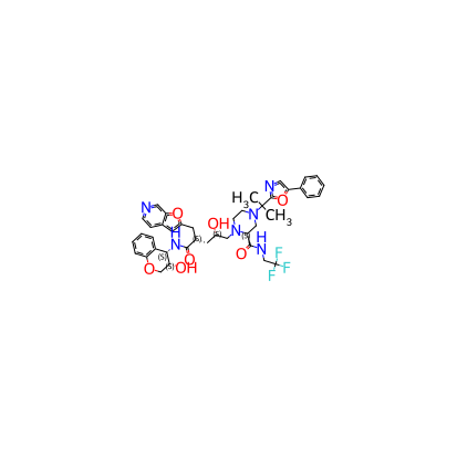 CC(C)(c1ncc(-c2ccccc2)o1)N1CCN(C[C@@H](O)C[C@@H](Cc2cc3ccncc3o2)C(=O)N[C@H]2c3ccccc3OC[C@H]2O)[C@H](C(=O)NCC(F)(F)F)C1